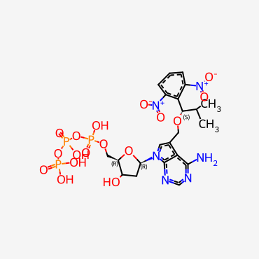 CC(C)[C@H](OCc1cn([C@H]2CC(O)[C@@H](COP(=O)(O)OP(=O)(O)OP(=O)(O)O)O2)c2ncnc(N)c12)c1c([N+](=O)[O-])cccc1[N+](=O)[O-]